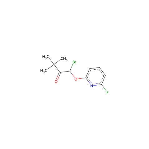 CC(C)(C)C(=O)C(Br)Oc1cccc(F)n1